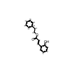 O=C(C=Cc1ccccc1O)OCCc1ccccc1